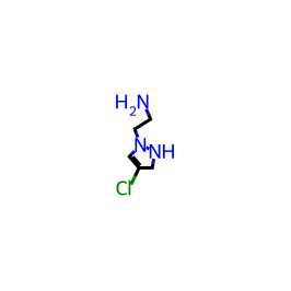 NCCN1C=C(Cl)CN1